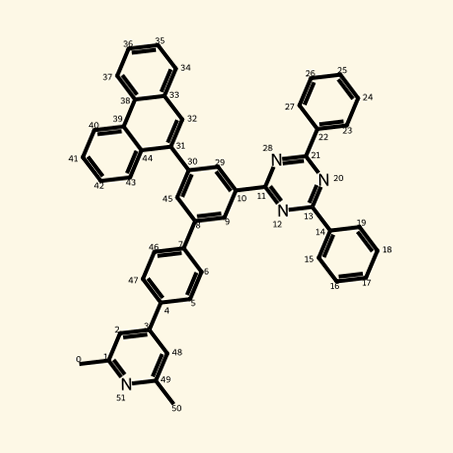 Cc1cc(-c2ccc(-c3cc(-c4nc(-c5ccccc5)nc(-c5ccccc5)n4)cc(-c4cc5ccccc5c5ccccc45)c3)cc2)cc(C)n1